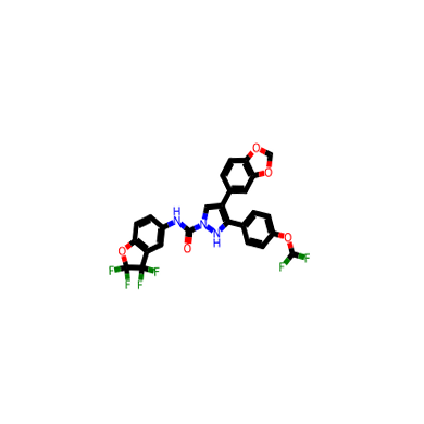 O=C(Nc1ccc2c(c1)C(F)(F)C(F)(F)O2)N1CC(c2ccc3c(c2)OCO3)=C(c2ccc(OC(F)F)cc2)N1